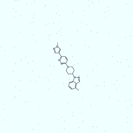 Cc1cccc2c1cnn2C1CCN(c2ccc(-c3cnn(C)c3)nn2)CC1